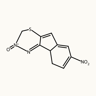 O=[N+]1CSC2=CC3=CC([N+](=O)[O-])=CCC3C2=N1